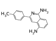 Cc1ccc(-c2cc3c(N)cccc3c(N)n2)cc1